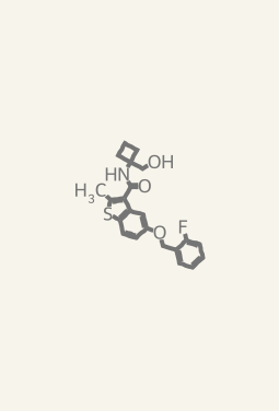 Cc1sc2ccc(OCc3ccccc3F)cc2c1C(=O)NC1(CO)CCC1